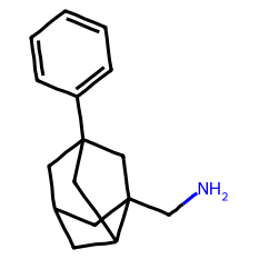 NCC12CC3CC1CC(c1ccccc1)(C3)C2